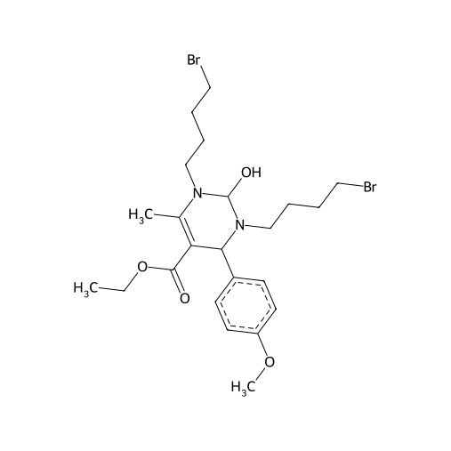 CCOC(=O)C1=C(C)N(CCCCBr)C(O)N(CCCCBr)C1c1ccc(OC)cc1